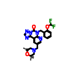 C[C@@H]1CN(Cc2cnc3c(c2)c2ncnn2c(=O)n3Cc2ccccc2OC(F)F)C[C@H](C)O1